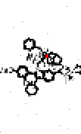 COc1ccc(-c2c(C3CCCCC3)c3ccc(C(=O)NS(=O)(=O)N4CCC4)cc3n2CC(C)(C)C(=O)N2C3CCC2CC(N(C)Cc2ccccc2)C3)c(C)c1